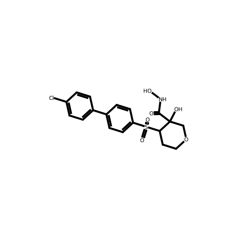 O=C(NO)C1(O)COCCC1S(=O)(=O)c1ccc(-c2ccc(Cl)cc2)cc1